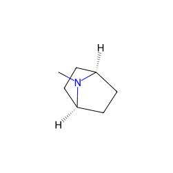 CN1[C@H]2CC[C@@H]1CC2